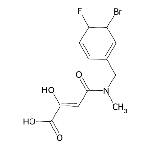 CN(Cc1ccc(F)c(Br)c1)C(=O)/C=C(\O)C(=O)O